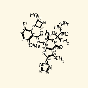 COc1ccc(F)cc1[C@H](Cn1c(=O)n(C(C)(C)C(=O)NC(C)C)c(=O)c2c(C)c(-n3nccn3)sc21)O[C@H]1C[C@@H](O)C1